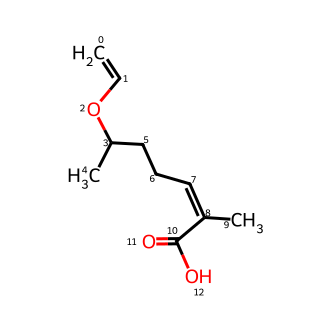 C=COC(C)CCC=C(C)C(=O)O